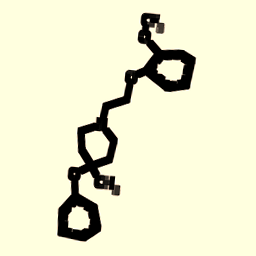 CC1(Oc2ccccc2)CCN(CCOc2ccccc2OC(F)(F)F)CC1